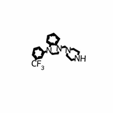 FC(F)(F)c1cccc(N2CCN(CN3CCNCC3)c3ccccc32)c1